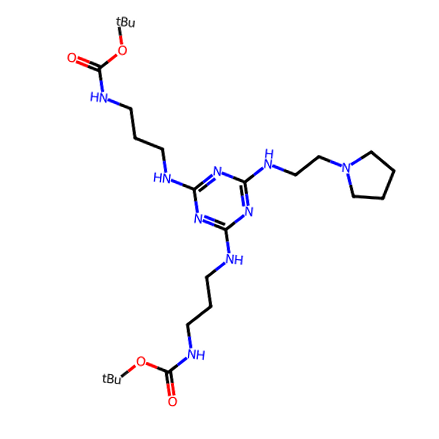 CC(C)(C)OC(=O)NCCCNc1nc(NCCCNC(=O)OC(C)(C)C)nc(NCCN2CCCC2)n1